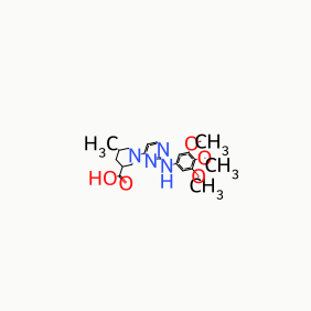 COc1cc(Nc2nccc(N3CC(C)CC(C(=O)O)C3)n2)cc(OC)c1OC